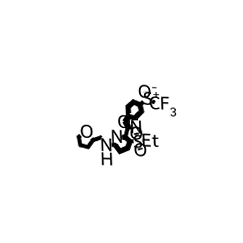 CCS(=O)(=O)c1ccc(NCC2CCCO2)nc1-c1nc2cc([S+]([O-])C(F)(F)F)ccc2o1